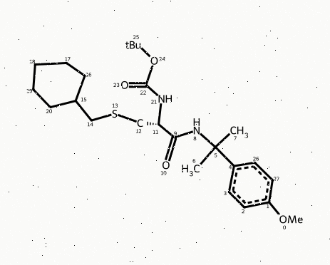 COc1ccc(C(C)(C)NC(=O)[C@H](CSCC2CCCCC2)NC(=O)OC(C)(C)C)cc1